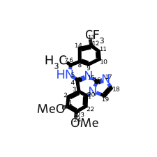 COc1cc2c(NC(C)c3cccc(C(F)(F)F)c3)nc3nccn3c2cc1OC